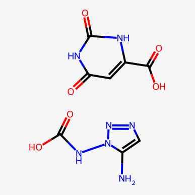 Nc1cnnn1NC(=O)O.O=C(O)c1cc(=O)[nH]c(=O)[nH]1